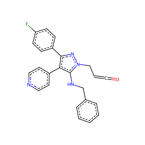 O=C=CCn1nc(-c2ccc(F)cc2)c(-c2ccncc2)c1NCc1ccccc1